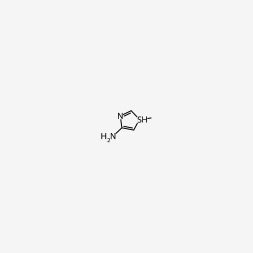 C[SH]1C=NC(N)=C1